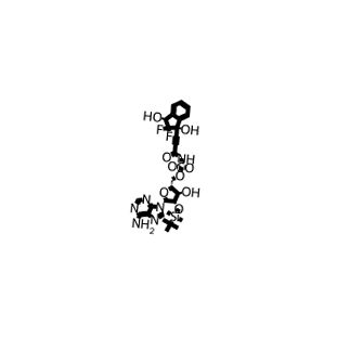 CC(C)(C)[Si](C)(C)O[C@@H]1[C@H](O)[C@@H](COS(=O)(=O)NC(=O)C#C[C@@]2(O)c3ccccc3[C@H](O)C2(F)F)O[C@H]1n1cnc2c(N)ncnc21